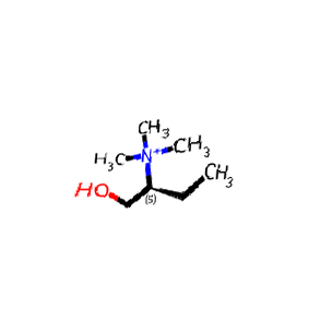 CC[C@@H](CO)[N+](C)(C)C